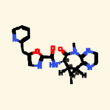 C[C@H]1[C@H]2c3nccnc3N(C)C(=O)[C@@H](NC(=O)c3ncc(Cc4ccccn4)o3)[C@@H]12